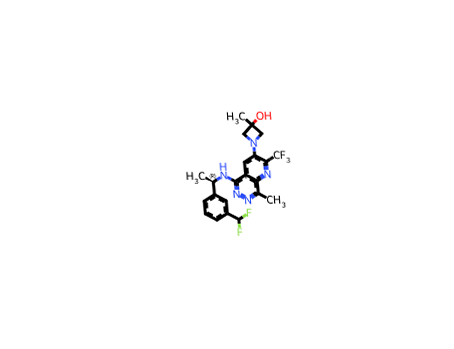 Cc1nnc(N[C@H](C)c2cccc(C(F)F)c2)c2cc(N3CC(C)(O)C3)c(C(F)(F)F)nc12